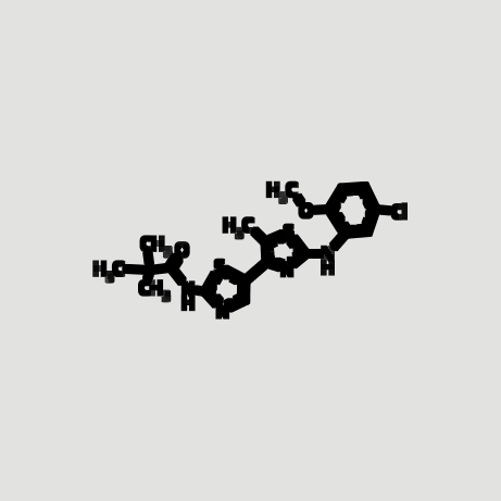 COc1ccc(Cl)cc1Nc1nc(-c2cnc(NC(=O)C(C)(C)C)s2)c(C)s1